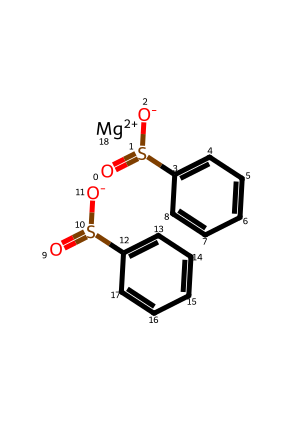 O=S([O-])c1ccccc1.O=S([O-])c1ccccc1.[Mg+2]